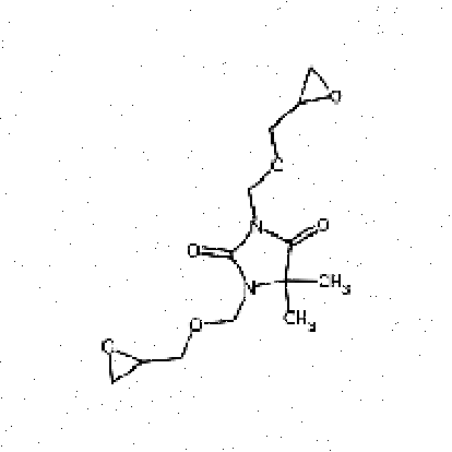 CC1(C)C(=O)N(COCC2CO2)C(=O)N1COCC1CO1